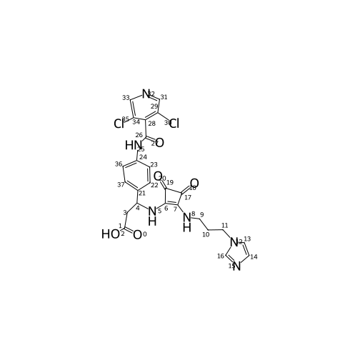 O=C(O)CC(Nc1c(NCCCn2ccnc2)c(=O)c1=O)c1ccc(NC(=O)c2c(Cl)cncc2Cl)cc1